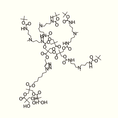 CN(CCCNC(=O)OCC(C)(COC(=O)NCCCN(C)CCCNC(=O)OC(C)(C)C)C(=O)OCC(C)(COC(=O)C(C)(COC(=O)NCCCN(C)CCCNC(=O)OC(C)(C)C)COC(=O)NCCCN(C)CCCNC(=O)OC(C)(C)C)C(=O)OCc1cn(CCCCCCOC(=O)C(C)(COC(=O)C(C)(CO)CO)COC(=O)C(C)(CO)CO)nn1)CCCNC(=O)OC(C)(C)C